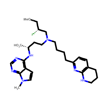 COC[C@@H](F)CN(CCCCc1ccc2c(n1)NCCC2)CC[C@H](Nc1ncnc2c1ccn2C)C(=O)O